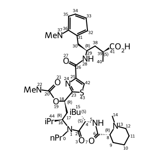 CCCN(C(=O)[C@@H](NC(=O)[C@H]1CCCCN1C)[C@@H](C)CC)[C@H](C[C@@H](OC(=O)NC)c1nc(C(=O)N[C@@H](Cc2ccccc2NC)C[C@H](C)C(=O)O)cs1)C(C)C